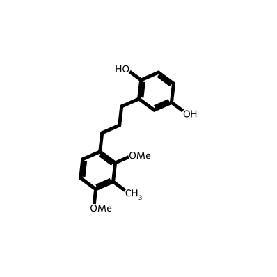 COc1ccc(CCCc2cc(O)ccc2O)c(OC)c1C